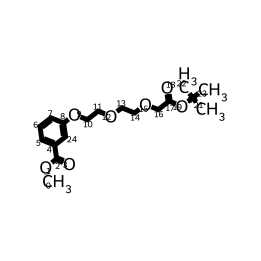 COC(=O)c1cccc(OCCOCCOCC(=O)OC(C)(C)C)c1